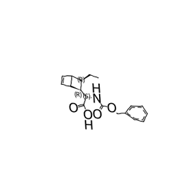 CC[C@@H]1C2C=CC2[C@@H]1[C@H](NC(=O)OCc1ccccc1)C(=O)O